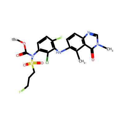 Cc1c(Nc2c(F)ccc(N(C(=O)OC(C)(C)C)S(=O)(=O)CCCF)c2Cl)ccc2ncn(C)c(=O)c12